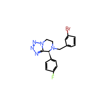 Fc1ccc([C@H]2c3nnnn3CCN2Cc2cccc(Br)c2)cc1